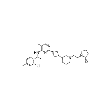 Cc1ccc(C(C)Nc2nc(N3CC(C4CCCN(CCN5CCCC5=O)C4)C3)ncc2C)c(Cl)c1